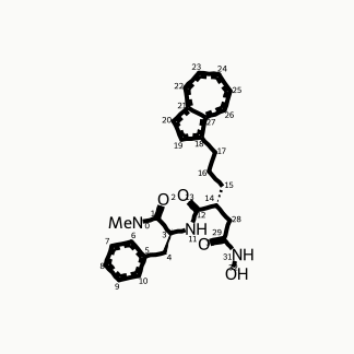 CNC(=O)[C@H](Cc1ccccc1)NC(=O)[C@H](CCCc1ccc2cccccc1-2)CC(=O)NO